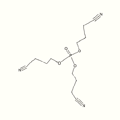 N#CCCCOP(=O)(OCCCC#N)OCCCC#N